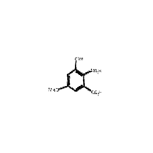 COc1cc(OC)c(C(=O)O)c(C(=O)O)c1